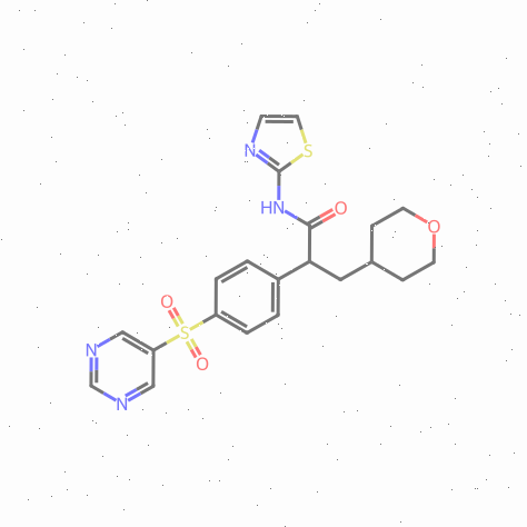 O=C(Nc1nccs1)C(CC1CCOCC1)c1ccc(S(=O)(=O)c2cncnc2)cc1